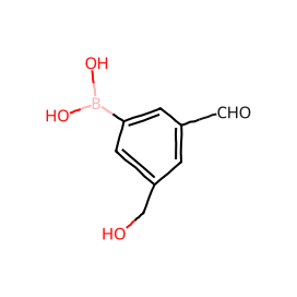 O=Cc1cc(CO)cc(B(O)O)c1